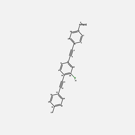 CCCCCc1ccc(C#Cc2ccc(C#Cc3ccc(C)cc3)c(F)c2)cc1